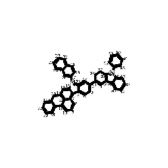 C1=C(c2ccc3c4c5cccc6c5c(cc4n(-c4ccc5ccccc5c4)c3c2)Cc2ccccc2-6)CCc2c1c1ccccc1n2-c1ccccc1